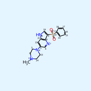 CN1CCN(c2cnc3c(S(=O)(=O)c4ccccc4)c[nH]c3c2)CC1